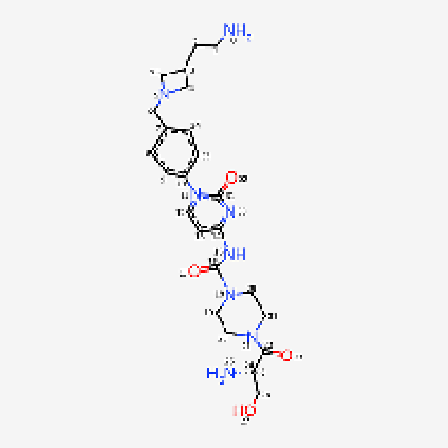 NCCC1CN(Cc2ccc(-n3ccc(NC(=O)N4CCN(C(=O)[C@@H](N)CO)CC4)nc3=O)cc2)C1